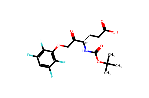 CC(C)(C)OC(=O)N[C@@H](CCC(=O)O)C(=O)COc1c(F)c(F)cc(F)c1F